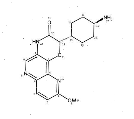 COc1ccc2ncc3c(c2n1)OC([C@H]1CC[C@H](N)CC1)C(=O)N3